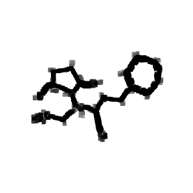 O=C(O)CN(C(=O)OCc1ccccc1)N1C(=O)CCC1=O